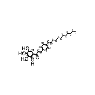 CCCCCCCCCCCSc1ccc(C=CC(=O)c2cc(O)c(O)c(O)c2O)cc1